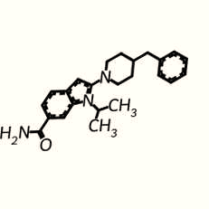 CC(C)n1c(N2CCC(Cc3ccccc3)CC2)cc2ccc(C(N)=O)cc21